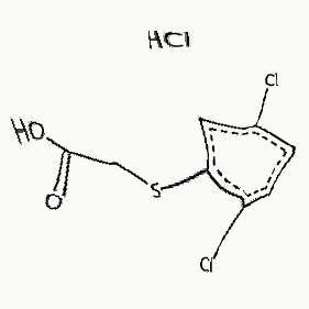 Cl.O=C(O)CSc1cc(Cl)ccc1Cl